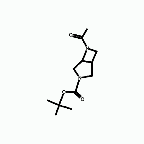 CC(=O)N1CC2CN(C(=O)OC(C)(C)C)CC21